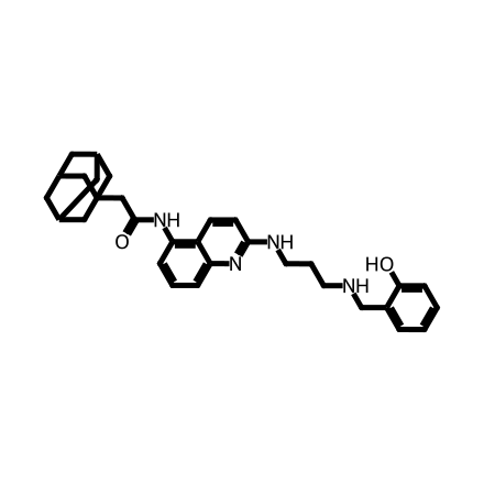 O=C(CC12CC3CC(CC(C3)C1)C2)Nc1cccc2nc(NCCCNCc3ccccc3O)ccc12